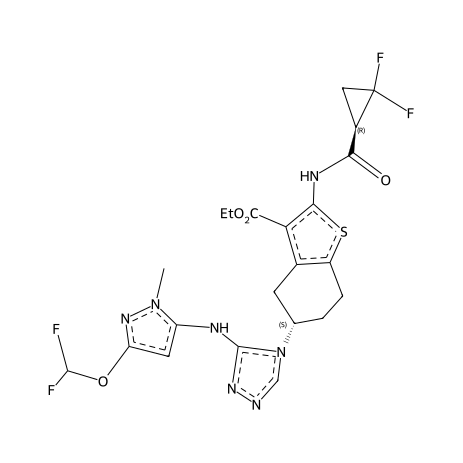 CCOC(=O)c1c(NC(=O)[C@H]2CC2(F)F)sc2c1C[C@@H](n1cnnc1Nc1cc(OC(F)F)nn1C)CC2